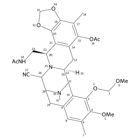 COCOc1c(OC)c(C)cc2c1C1[C@@H]3Cc4c(OC(C)=O)c(C)c5c(c4[C@H](CNC(C)=O)N3C(C#N)C(C2)N1C)OCO5